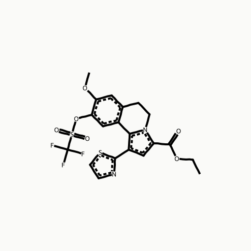 CCOC(=O)c1cc(-c2nccs2)c2n1CCc1cc(OC)c(OS(=O)(=O)C(F)(F)F)cc1-2